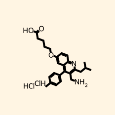 Cc1ccc(-c2c(CN)c(CC(C)C)nc3ccc(OCCCCC(=O)O)cc23)cc1.Cl.Cl